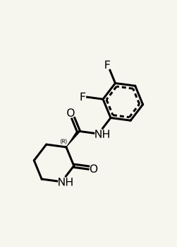 O=C1NCCC[C@H]1C(=O)Nc1cccc(F)c1F